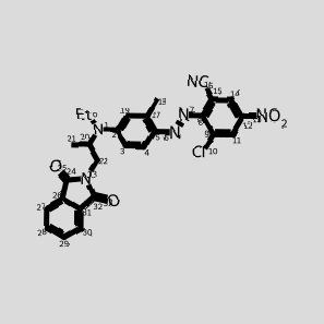 CCN(c1ccc(/N=N/c2c(Cl)cc([N+](=O)[O-])cc2C#N)c(C)c1)C(C)CN1C(=O)c2ccccc2C1=O